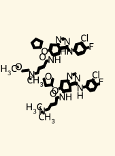 CN(C)CC=CC(=O)Nc1cc2c(Nc3ccc(F)c(Cl)c3)ncnc2cc1O[C@H]1CCOC1.COCCN(C)CC=CC(=O)Nc1cc2c(Nc3ccc(F)c(Cl)c3)ncnc2cc1OC1CCCC1